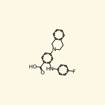 O=C(O)c1ccc(N2CCc3ccccc3C2)cc1Nc1ccc(F)cc1